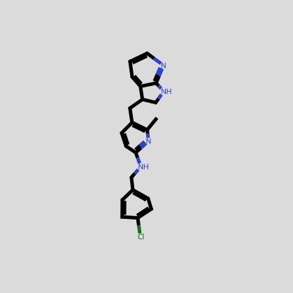 Cc1nc(NCc2ccc(Cl)cc2)ccc1CC1CNc2ncccc21